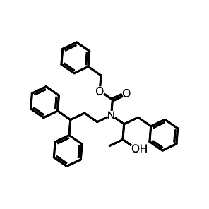 CC(O)C(Cc1ccccc1)N(CCC(c1ccccc1)c1ccccc1)C(=O)OCc1ccccc1